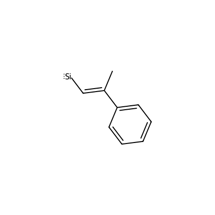 CC(=C[Si])c1ccccc1